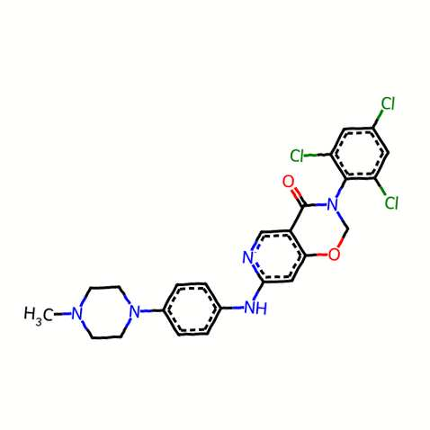 CN1CCN(c2ccc(Nc3cc4c(cn3)C(=O)N(c3c(Cl)cc(Cl)cc3Cl)CO4)cc2)CC1